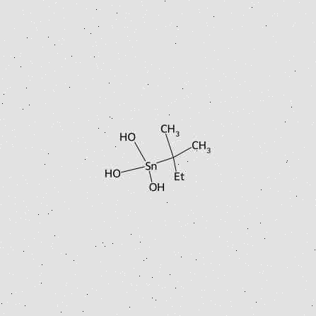 CC[C](C)(C)[Sn]([OH])([OH])[OH]